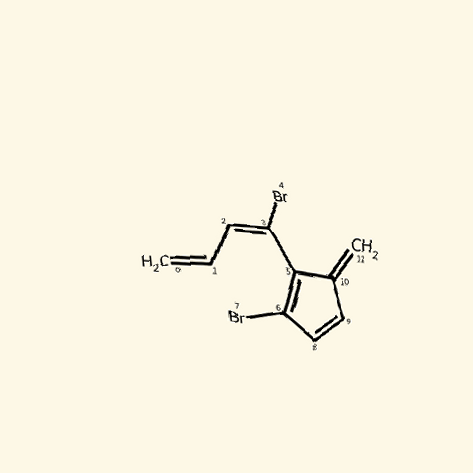 C=C/C=C(/Br)C1=C(Br)C=CC1=C